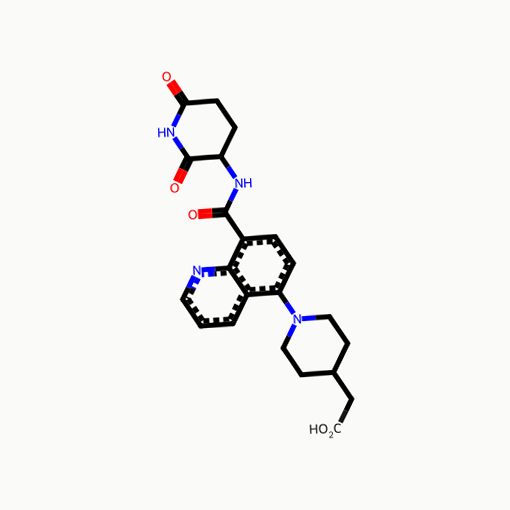 O=C(O)CC1CCN(c2ccc(C(=O)NC3CCC(=O)NC3=O)c3ncccc23)CC1